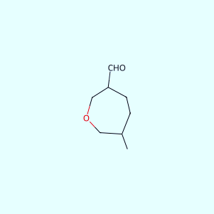 CC1CCC(C=O)COC1